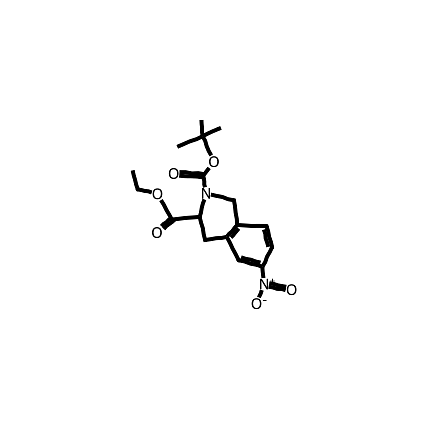 CCOC(=O)C1Cc2cc([N+](=O)[O-])ccc2CN1C(=O)OC(C)(C)C